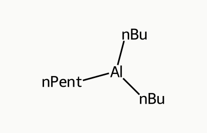 CCCC[CH2][Al]([CH2]CCC)[CH2]CCC